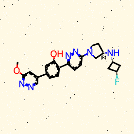 COc1cc(-c2ccc(-c3ccc(N4CC[C@@H](N[C@H]5C[C@H](F)C5)C4)nn3)c(O)c2)cnn1